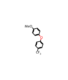 COc1ccc(Oc2ccc(C(F)(F)F)cc2)cc1